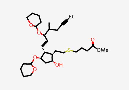 CCC#CCC(C)C(/C=C/[C@@H]1[C@@H](CCSCCCC(=O)OC)[C@@H](O)C[C@H]1OC1CCCCO1)OC1CCCCO1